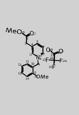 COC(=O)Cc1ccc[n+](Cc2ccccc2OC)c1.O=C([O-])C(F)(F)F